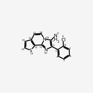 Nc1c(-c2ccccc2Cl)nc2c3sccc3ccn12